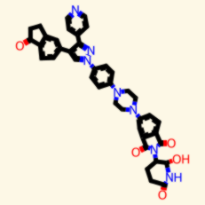 O=C1CCC(N2C(=O)c3ccc(N4CCN(c5ccc(-n6cc(-c7ccc8c(c7)CCC8=O)c(-c7ccncc7)n6)cc5)CC4)cc3C2=O)C(O)N1